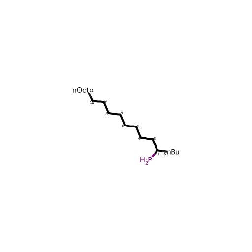 [CH2]CCCC(P)CCCCCCCCCCCCCCCC